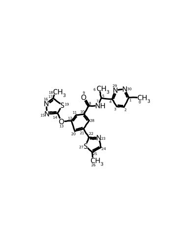 Cc1ccc(C(C)NC(=O)c2cc(Oc3nnc(C)s3)cc(-c3ncc(C)s3)c2)nn1